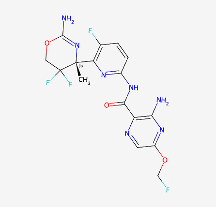 C[C@]1(c2nc(NC(=O)c3ncc(OCF)nc3N)ccc2F)N=C(N)OCC1(F)F